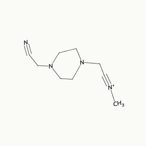 C[N+]#CCN1CCN(CC#N)CC1